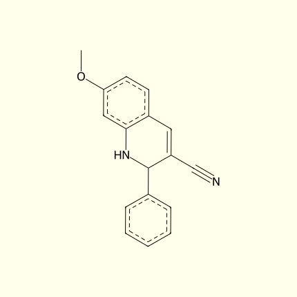 COc1ccc2c(c1)NC(c1ccccc1)C(C#N)=C2